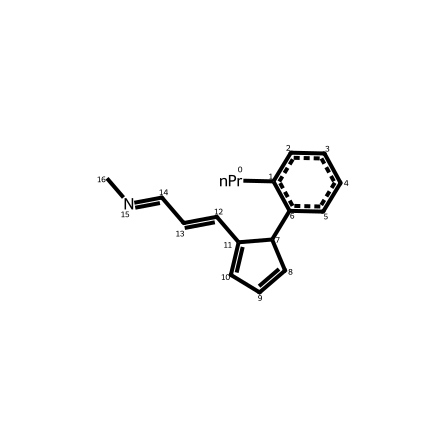 CCCc1ccccc1C1C=CC=C1/C=C/C=N/C